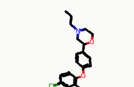 CCCN1CCOC(c2ccc(Oc3ccc(Cl)cc3C)cc2)C1